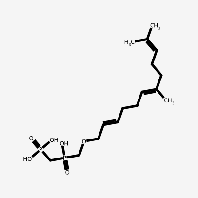 CC(C)=CCCC(C)=CCCC=CCOCP(=O)(O)CP(=O)(O)O